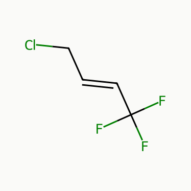 FC(F)(F)C=CCCl